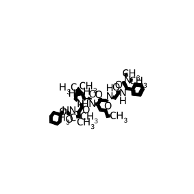 CCCCC(NC(=O)[C@@H]1[C@H]2[C@@H](CN1C(=O)[C@@H](NC(=O)OC1CCCCC1)C(C)(C)C)C2(C)C)C(=O)C(=O)NCC(=O)N[C@H](C(=O)N(C)C)c1ccccc1